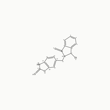 CCC1c2ccccc2C(=O)N1Cc1ccc2[nH]c(=O)oc2c1